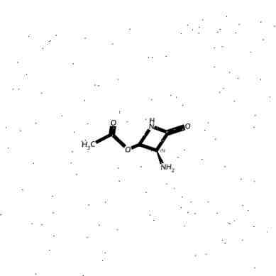 CC(=O)OC1NC(=O)[C@H]1N